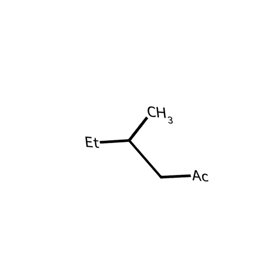 [CH2]C(=O)CC(C)CC